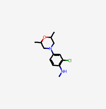 CNc1ccc(N2CC(C)OC(C)C2)cc1Cl